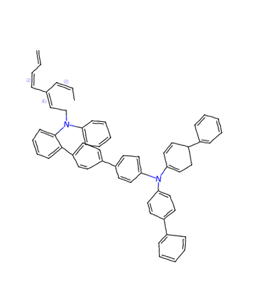 C=C\C=C/C(/C=C\C)=C/CN(c1ccccc1)c1ccccc1-c1ccc(-c2ccc(N(C3=CCC(c4ccccc4)C=C3)c3ccc(-c4ccccc4)cc3)cc2)cc1